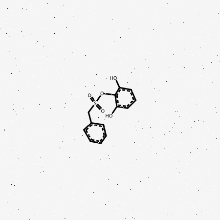 O=S(=O)(Cc1ccccc1)Oc1c(O)cccc1O